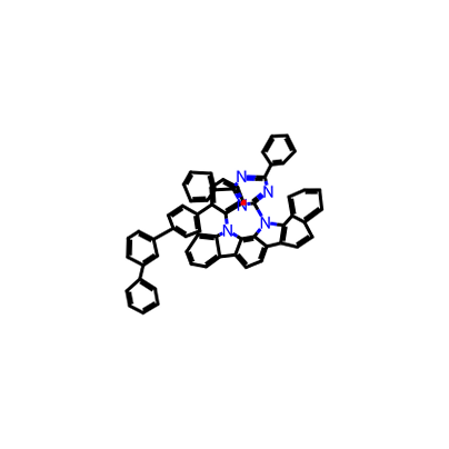 c1ccc(-c2cccc(-c3ccc(-c4ccccc4-n4c5ccccc5c5ccc6c7ccc8ccccc8c7n(-c7nc(-c8ccccc8)nc(-c8ccccc8)n7)c6c54)cc3)c2)cc1